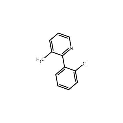 Cc1cccnc1-c1ccccc1Cl